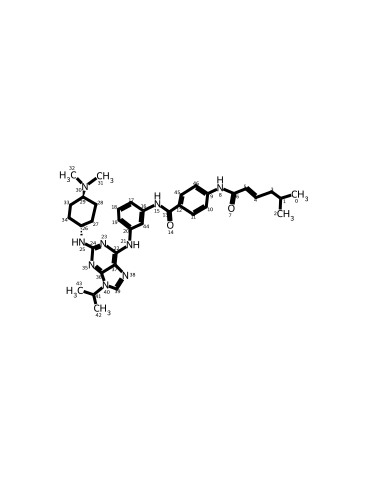 CC(C)C/C=C/C(=O)Nc1ccc(C(=O)Nc2cccc(Nc3nc(N[C@H]4CC[C@H](N(C)C)CC4)nc4c3ncn4C(C)C)c2)cc1